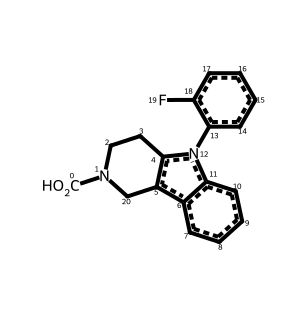 O=C(O)N1CCc2c(c3ccccc3n2-c2ccccc2F)C1